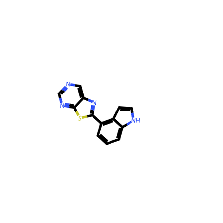 c1cc(-c2nc3cncnc3s2)c2cc[nH]c2c1